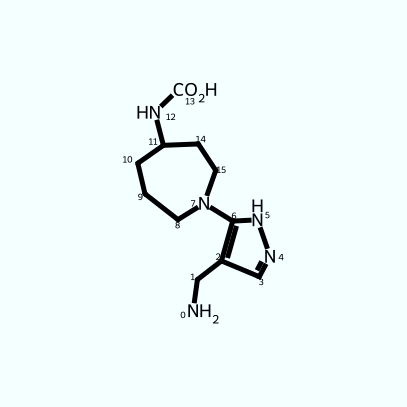 NCc1cn[nH]c1N1CCCC(NC(=O)O)CC1